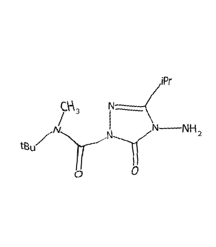 CC(C)c1nn(C(=O)N(C)C(C)(C)C)c(=O)n1N